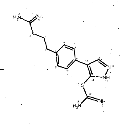 N=C(N)SCCc1ccc(-c2cn[nH]c2SC(=N)N)cc1